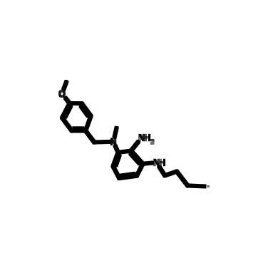 [CH2]CCCNc1cccc(N(C)Cc2ccc(OC)cc2)c1N